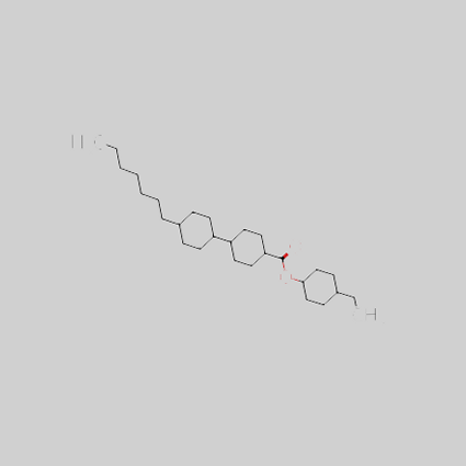 CCCCCCCC1CCC(C2CCC(C(=O)OC3CCC(CC)CC3)CC2)CC1